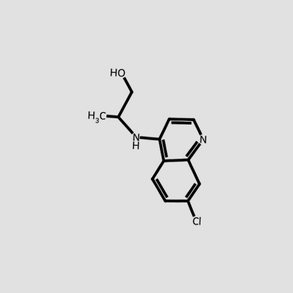 CC(CO)Nc1ccnc2cc(Cl)ccc12